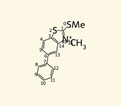 CSc1sc2ccc(-c3ccccc3)cc2[n+]1C